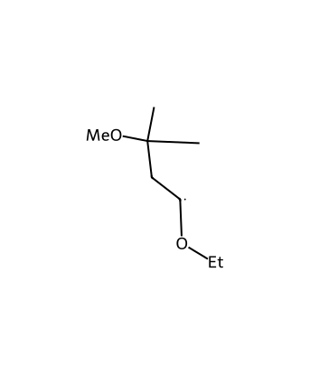 CCO[CH]CC(C)(C)OC